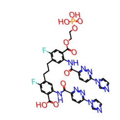 O=C(Nc1cc(CCCc2cc(NC(=O)c3ccc(-n4ccnc4)nn3)c(C(=O)OCCOP(=O)(O)O)cc2F)c(F)cc1C(=O)O)c1ccc(-n2ccnc2)nn1